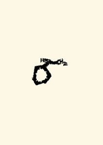 C=[SiH]c1ccccc1